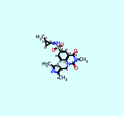 Cc1nc(C)c(Cn2c(=O)n(C)c(=O)c3cc(S(=O)(=O)NC4CC4C)ccc32)s1